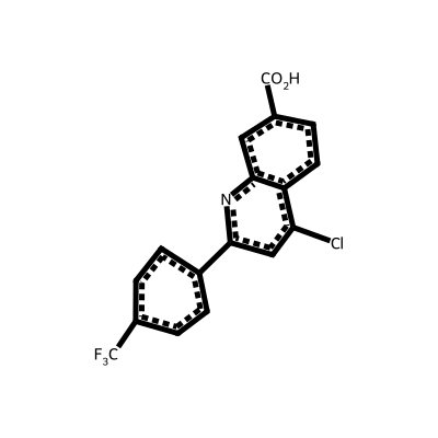 O=C(O)c1ccc2c(Cl)cc(-c3ccc(C(F)(F)F)cc3)nc2c1